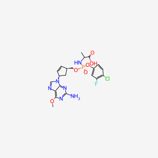 COc1nc(N)nc2c1ncn2[C@H]1C=C[C@@H](COP(=O)(NC(C)C(=O)O)Oc2ccc(Cl)c(F)c2)C1